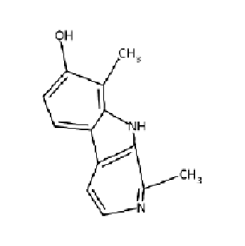 Cc1nccc2c1[nH]c1c(C)c(O)ccc12